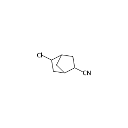 N#CC1CC2CC1CC2Cl